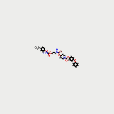 O=C(NOc1ccc([N+](=O)[O-])cc1)OCCCNC(=O)OC1CCN(C(=O)Oc2ccc(Oc3ccccc3)cc2)CC1